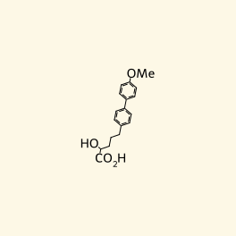 COc1ccc(-c2ccc(CCCC(O)C(=O)O)cc2)cc1